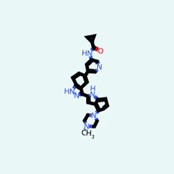 CN1CCN(c2cccc3[nH]c(-c4n[nH]c5ccc(-c6cncc(NC(=O)C7CC7)c6)cc45)cc23)CC1